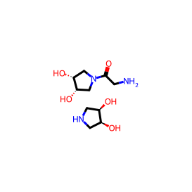 NCC(=O)N1C[C@@H](O)[C@@H](O)C1.O[C@@H]1CNC[C@@H]1O